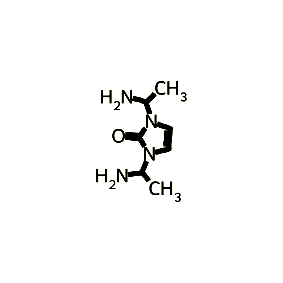 CC(N)n1ccn(C(C)N)c1=O